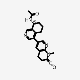 CC(=O)N[C@@H]1CCCc2c(-c3cnc4c(c3)CCC(=C=O)N4C)cncc21